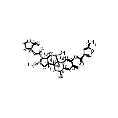 Cc1cc(C(=O)OC2=C[C@@]3(C)C(=CC2=O)[C@@H](F)C[C@@H]2[C@@H]4C[C@@H](C)[C@@H](C(=O)S[C@H]5CCOC5=O)[C@@]4(C)C[C@H](O)[C@@]23F)no1